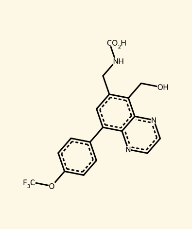 O=C(O)NCc1cc(-c2ccc(OC(F)(F)F)cc2)c2nccnc2c1CO